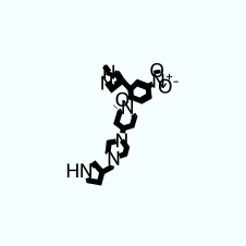 COC1(N2CCC(N3CCN(CC4CCNC4)CC3)CC2)C=CC([N+](=O)[O-])=CC1c1cnn(C)c1